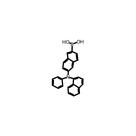 OB(O)c1ccc2cc(N(c3ccccc3)c3cccc4ccccc34)ccc2c1